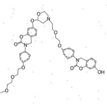 COCCOCCOc1ccc(N2Cc3ccc(OC4CN(CCOCCOc5ccc(N6Cc7ccc(O)cc7OC6=O)cc5)CCO4)cc3OC2=O)cc1